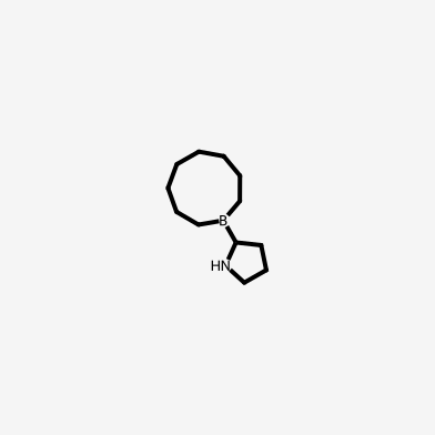 C1CCCCB(C2CCCN2)CCC1